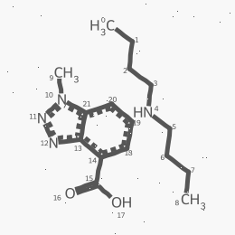 CCCCNCCCC.Cn1nnc2c(C(=O)O)cccc21